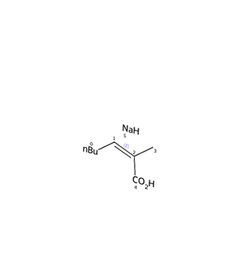 CCCC/C=C(/C)C(=O)O.[NaH]